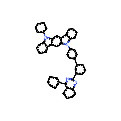 c1ccc(-c2nc(-c3cccc(-c4ccc(-n5c6ccccc6c6cc7c(cc65)c5ccccc5n7-c5ccccc5)cc4)c3)nc3ccccc23)cc1